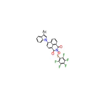 CC(=O)c1cn(-c2ccc3c4c(cccc24)C(=O)N(OSc2c(F)c(F)c(F)c(F)c2F)C3=O)c2ccccc12